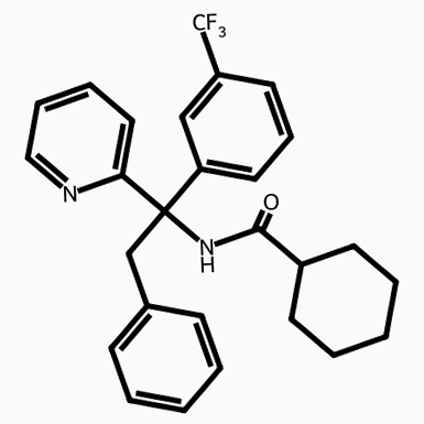 O=C(NC(Cc1ccccc1)(c1cccc(C(F)(F)F)c1)c1ccccn1)C1CCCCC1